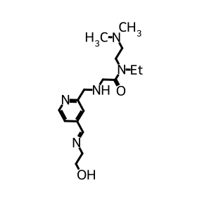 CCN(CCN(C)C)C(=O)CNCc1cc(C=NCCO)ccn1